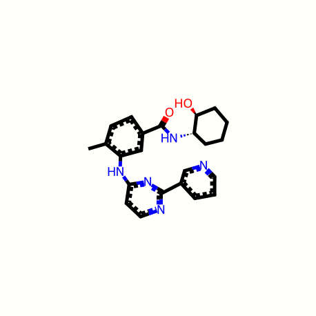 Cc1ccc(C(=O)N[C@H]2CCCC[C@@H]2O)cc1Nc1ccnc(-c2cccnc2)n1